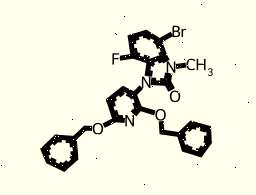 Cn1c(=O)n(-c2ccc(OCc3ccccc3)nc2OCc2ccccc2)c2c(F)ccc(Br)c21